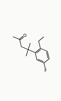 CCc1ccc(F)cc1C(C)(C)CC(C)=O